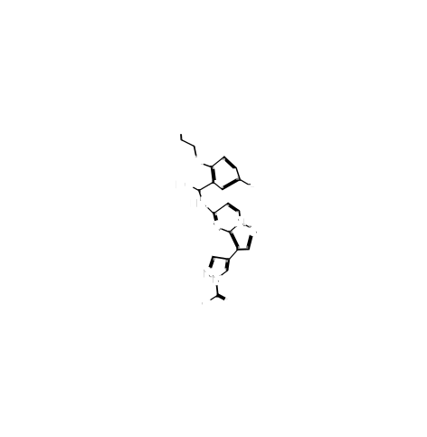 CC(=O)n1cc(-c2cnn3ccc(NC(C)c4cc(F)ccc4OCCF)nc23)cn1